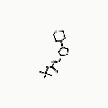 CC(C)(C)OC(=O)NC[C@H]1CCN(C2CCOCC2)C1